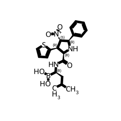 CC(C)C[C@H](NC(=O)[C@@H]1N[C@H](c2ccccc2)[C@@H]([N+](=O)[O-])[C@@H]1c1cccs1)B(O)O